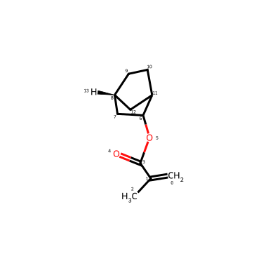 C=C(C)C(=O)OC1C[C@@H]2CCC1C2